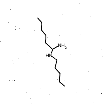 CCCCCNC(N)CCCCC